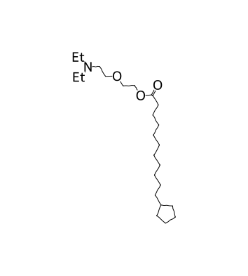 CCN(CC)CCOCCOC(=O)CCCCCCCCCCC1CCCC1